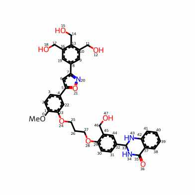 COc1ccc(-c2cc(-c3cc(CO)c(CO)c(CO)c3)no2)cc1OCCCOc1ccc(C2NC(=O)c3ccccc3N2)cc1CO